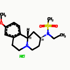 CCN([C@@H]1CCN2CCc3cc(OC)ccc3[C@@H]2C1)S(C)(=O)=O.Cl